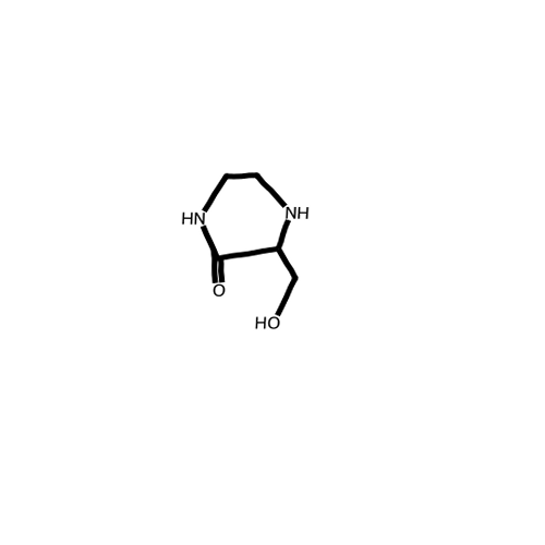 O=C1NCCNC1CO